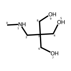 CNCC(CO)(CO)CO